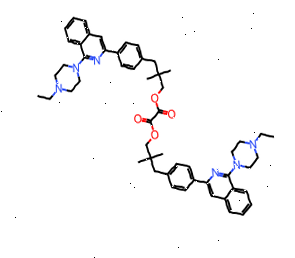 CCN1CCN(c2nc(-c3ccc(CC(C)(C)COC(=O)C(=O)OCC(C)(C)Cc4ccc(-c5cc6ccccc6c(N6CCN(CC)CC6)n5)cc4)cc3)cc3ccccc23)CC1